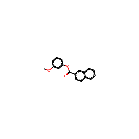 COc1cccc(OC(=O)c2ccc3ccccc3c2)c1